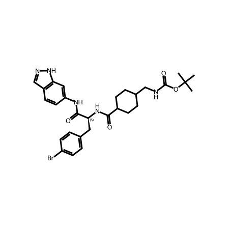 CC(C)(C)OC(=O)NCC1CCC(C(=O)N[C@@H](Cc2ccc(Br)cc2)C(=O)Nc2ccc3cn[nH]c3c2)CC1